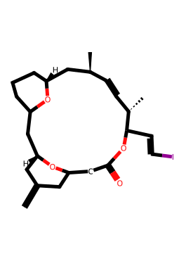 C=C1CC2CC(=O)OC(/C=C/I)[C@@H](C)/C=C/[C@H](C)C[C@H]3CCCC(C[C@@H](C1)O2)O3